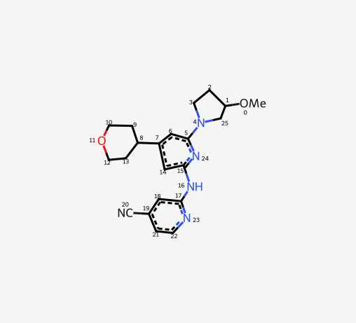 COC1CCN(c2cc(C3CCOCC3)cc(Nc3cc(C#N)ccn3)n2)C1